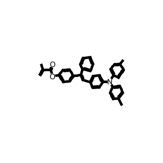 C=C(C)C(=O)Oc1ccc(C(=Cc2ccc(N(c3ccc(C)cc3)c3ccc(C)cc3)cc2)c2ccccc2)cc1